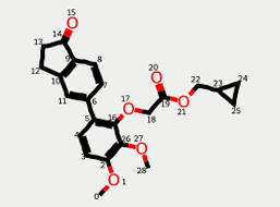 COc1ccc(-c2ccc3c(c2)CCC3=O)c(OCC(=O)OCC2CC2)c1OC